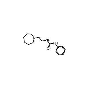 O=C(NCCN1CCCCCC1)Nc1ccccc1